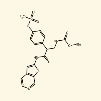 CC(C)(C)OC(=O)NCC(C(=O)Nc1cc2ccncc2s1)c1ccc(OS(=O)(=O)C(F)(F)F)cc1